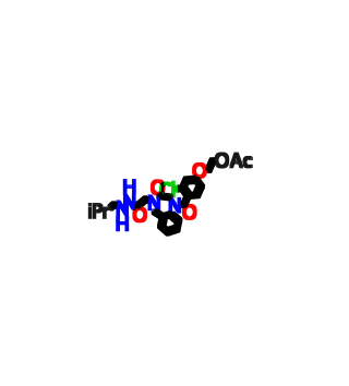 CC(=O)OCCOc1ccc(C(=O)N2CC(=O)N(CC(=O)NNCC(C)C)Cc3ccccc32)c(Cl)c1